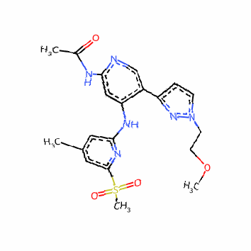 COCCn1ccc(-c2cnc(NC(C)=O)cc2Nc2cc(C)cc(S(C)(=O)=O)n2)n1